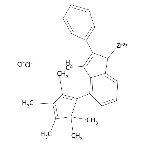 CC1=C(C)C(C)(C)C(c2cccc3c2C(C)=C(c2ccccc2)[CH]3[Zr+2])=C1C.[Cl-].[Cl-]